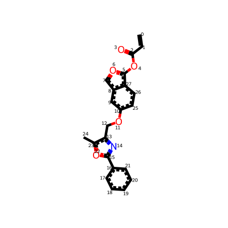 C=CC(=O)Oc1occ2cc(OCc3nc(-c4ccccc4)oc3C)ccc12